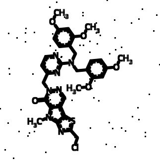 COc1ccc(CN(Cc2ccc(OC)cc2OC)c2nccc(Cn3ncc4c5sc(CCl)nc5n(C)c4c3=O)n2)c(OC)c1